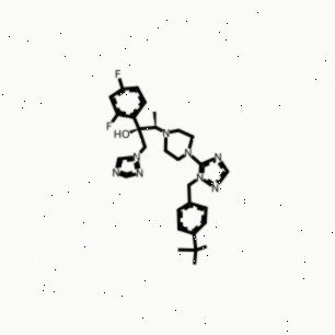 C[C@@H](N1CCN(c2ncnn2Cc2ccc(C(C)(C)C)cc2)CC1)[C@](O)(Cn1cncn1)c1ccc(F)cc1F